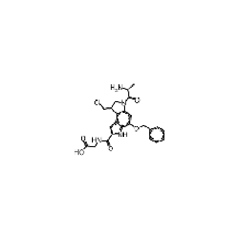 C[C@H](N)C(=O)N1CC(CCl)c2c1cc(OCc1ccccc1)c1[nH]c(C(=O)NCC(=O)O)cc21